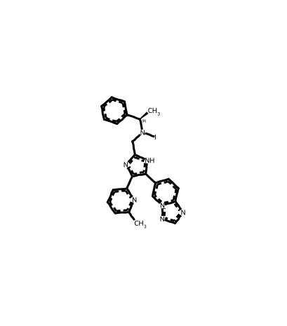 Cc1cccc(-c2nc(CN(I)[C@H](C)c3ccccc3)[nH]c2-c2ccc3ncnn3c2)n1